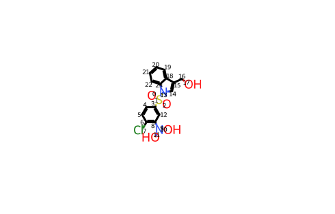 O=S(=O)(c1ccc(Cl)c(N(O)O)c1)n1cc(CO)c2ccccc21